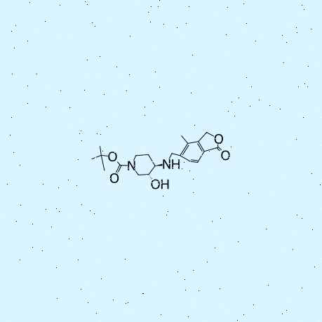 Cc1c(CN[C@@H]2CCN(C(=O)OC(C)(C)C)C[C@H]2O)ccc2c1COC2=O